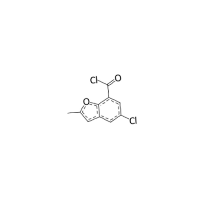 Cc1cc2cc(Cl)cc(C(=O)Cl)c2o1